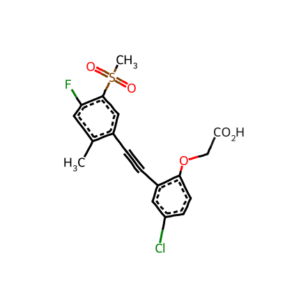 Cc1cc(F)c(S(C)(=O)=O)cc1C#Cc1cc(Cl)ccc1OCC(=O)O